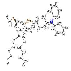 CCCCCCCCC1(CCCCCCCC)c2cc(C)sc2-c2sc(-c3ccc(N(c4ccccc4)c4ccccc4)cc3)cc21